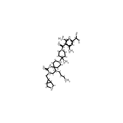 CCCC[C@H]1CN(CC2C3COCC32)C(=O)OC12CCN(C1(C)CCN(C(=O)c3c(C)cc(C(F)F)nc3C)CC1)CC2